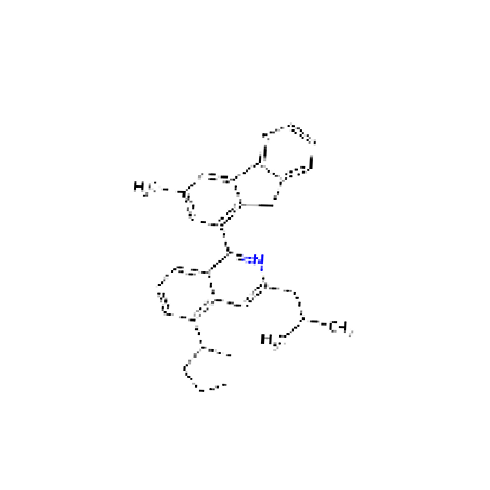 Cc1cc2c(c(-c3nc(CC(C)C)cc4c(C5CCCC5)cccc34)c1)Cc1ccccc1-2